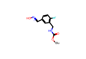 CC(C)(C)OC(=O)NCc1cc(/C=N/O)ccc1F